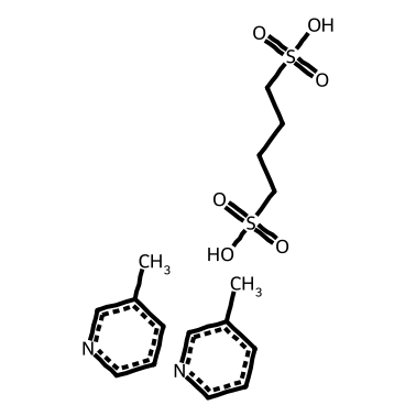 Cc1cccnc1.Cc1cccnc1.O=S(=O)(O)CCCCS(=O)(=O)O